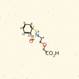 O=C(O)COCCN1Sc2ccccc2[S+]1[O-]